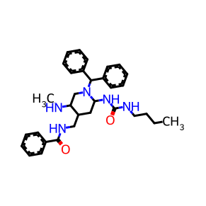 CCCCNC(=O)NC1CC(CNC(=O)c2ccccc2)C(NC)CN1C(c1ccccc1)c1ccccc1